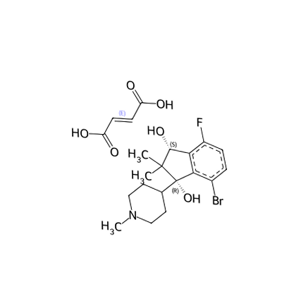 CN1CCC([C@]2(O)c3c(Br)ccc(F)c3[C@@H](O)C2(C)C)CC1.O=C(O)/C=C/C(=O)O